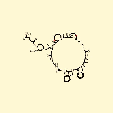 COC(=O)CCC(=O)O[C@H]1CC[C@H](C[C@@H](C)[C@@H]2CC(=O)NCCNC(=O)CN(C)C(=O)[C@H](Cc3ccccc3)NC(=O)[C@H](Cc3ccccc3)N(C)C(=O)[C@H](C)NC(=O)CSCC[C@@H]3CC[C@@H](C)[C@@](O)(O3)C(=O)C(=O)N3CCCC[C@@H]3C(=O)O2)C[C@H]1OC